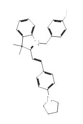 CC1(C)C(/C=C/c2ccc(N3CCCC3)cc2)=[N+](Cc2ccc(F)cc2)c2ccccc21